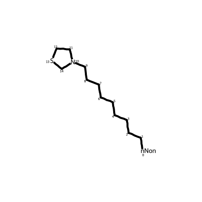 CCCCCCCCCCCCCCCCCCN1CCSC1